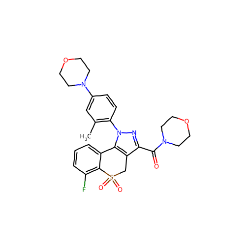 Cc1cc(N2CCOCC2)ccc1-n1nc(C(=O)N2CCOCC2)c2c1-c1cccc(F)c1S(=O)(=O)C2